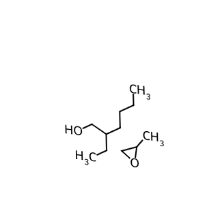 CC1CO1.CCCCC(CC)CO